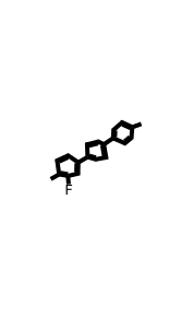 Cc1ccc(-c2ccc(-c3ccc(C)c(F)c3)cc2)cc1